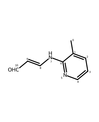 Cc1cccnc1NC=CC=O